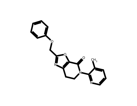 Cc1cccnc1N1CCc2nc(COc3ccccc3)oc2C1=O